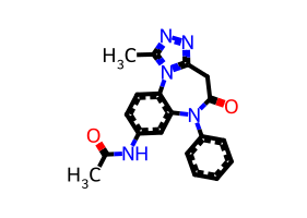 CC(=O)Nc1ccc2c(c1)N(c1ccccc1)C(=O)Cc1nnc(C)n1-2